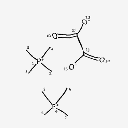 C[P+](C)(C)C.C[P+](C)(C)C.O=C([O-])C(=O)[O-]